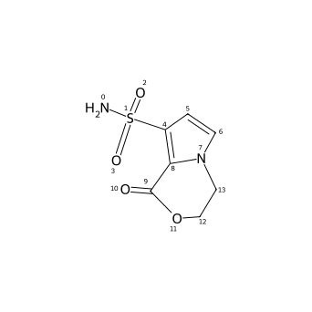 NS(=O)(=O)c1ccn2c1C(=O)OCC2